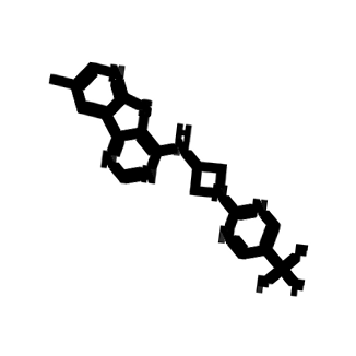 Cc1cnc2sc3c(NC4CN(c5ncc(C(F)(F)F)cn5)C4)ncnc3c2c1